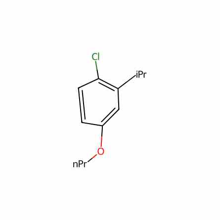 CCCOc1ccc(Cl)c(C(C)C)c1